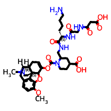 COc1ccc2c3c1OC1C(OC(=O)N4CCC(C(=O)O)CC4CNC(=O)[C@H](CCCCN)NC(=O)CNC(=O)CC(=O)O)=CC[C@H]4[C@@H](C2)N(C)CC[C@]314